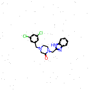 O=C1CN(Cc2cc(Cl)cc(Cl)c2)CCN1Cc1nc2ccccc2[nH]1